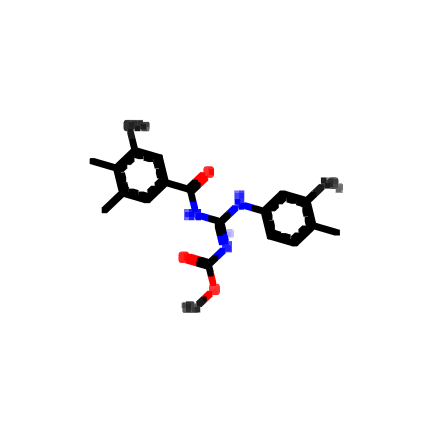 COc1cc(C(=O)N/C(=N\C(=O)OC(C)(C)C)Nc2ccc(C)c([N+](=O)[O-])c2)cc(C)c1C